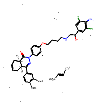 COc1ccc(C2=NN(c3ccc(OCCCCNCC(O)c4cc(Cl)c(N)c(Cl)c4)cc3)C(=O)[C@@H]3CC=CC[C@H]23)cc1OC.O=C(O)C=CC(=O)O